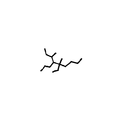 CCCCC(C)(CC)C(CCC)C(C)CC